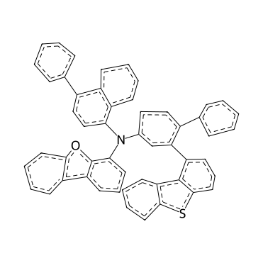 c1ccc(-c2ccc(N(c3ccc(-c4ccccc4)c4ccccc34)c3cccc4c3oc3ccccc34)cc2-c2cccc3sc4ccccc4c23)cc1